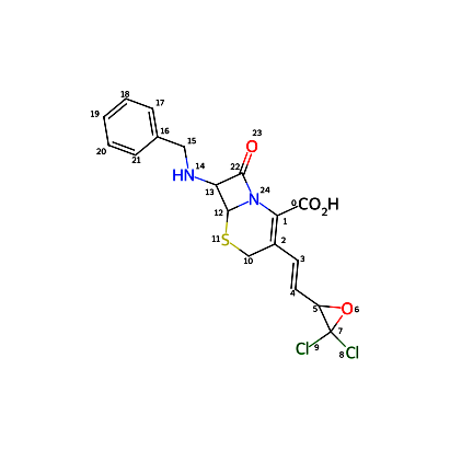 O=C(O)C1=C(/C=C/C2OC2(Cl)Cl)CSC2C(NCc3ccccc3)C(=O)N12